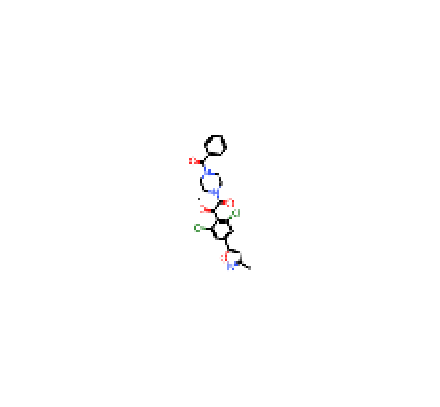 Cc1cc(-c2cc(Cl)c(C(=O)C(=O)N3CCN(C(=O)c4ccccc4)C[C@H]3C)c(Cl)c2)on1